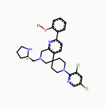 CCOc1ccccc1-c1ccc2c(n1)CN(C[C@H]1CCCN1)CC21CCN(c2ncc(Cl)cc2Cl)CC1